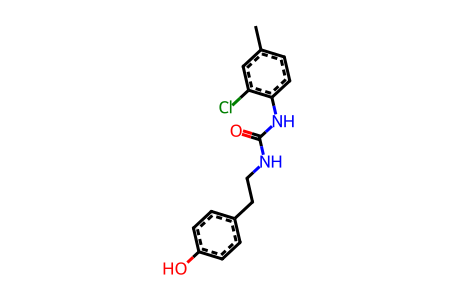 Cc1ccc(NC(=O)NCCc2ccc(O)cc2)c(Cl)c1